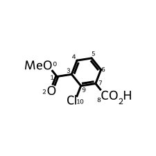 COC(=O)c1cccc(C(=O)O)c1Cl